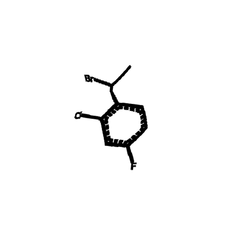 CC(Br)c1ccc(F)cc1Cl